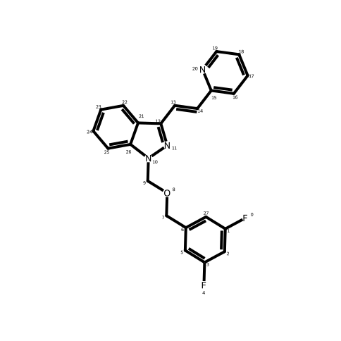 Fc1cc(F)cc(COCn2nc(C=Cc3ccccn3)c3ccccc32)c1